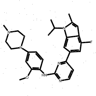 COc1cc(N2CCN(C)CC2)ccc1Nc1nccc(-c2cc(F)c3cc(C)n(C(C)C)c3c2)n1